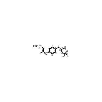 CCOC(=O)C=C(C)Oc1ccc(C[C@H]2COC(C)(C)O2)cc1